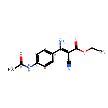 CCOC(=O)/C(C#N)=C(\N)c1ccc(NC(C)=O)cc1